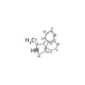 CC1CC2(CCCc3ccccc32)CCN1